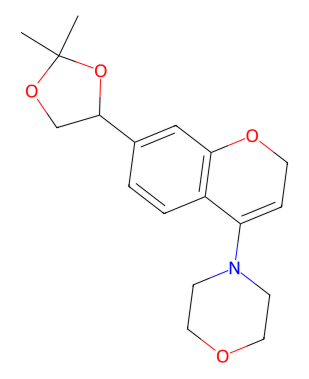 CC1(C)OCC(c2ccc3c(c2)OCC=C3N2CCOCC2)O1